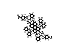 COc1ccc(OC(=O)C(c2ccccc2)N2C(=O)c3cc(Oc4ccccc4)c4c5c(Oc6ccccc6)cc6c7c(cc(Oc8ccccc8)c(c8c(Oc9ccccc9)cc(c3c48)C2=O)c75)C(=O)N(C(C(=O)Oc2ccc(OC)cc2)c2ccccc2)C6=O)cc1